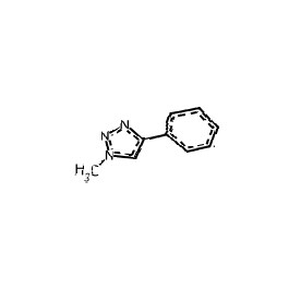 Cn1cc(-c2c[c]ccc2)nn1